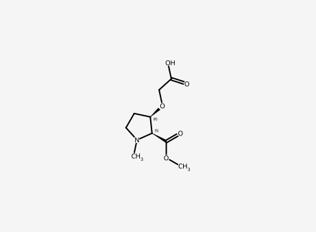 COC(=O)[C@@H]1[C@H](OCC(=O)O)CCN1C